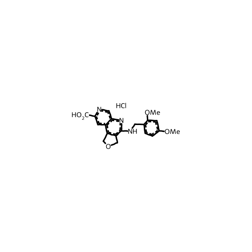 COc1ccc(CNc2nc3cnc(C(=O)O)cc3c3c2COC3)c(OC)c1.Cl